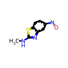 CNc1nc2cc(N=O)ccc2s1